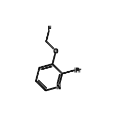 CC(C)c1ncccc1OCF